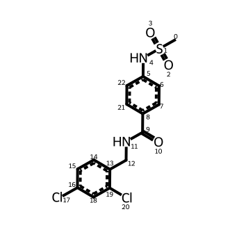 CS(=O)(=O)Nc1ccc(C(=O)NCc2ccc(Cl)cc2Cl)cc1